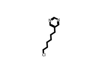 ClCCCCCCc1cncnc1